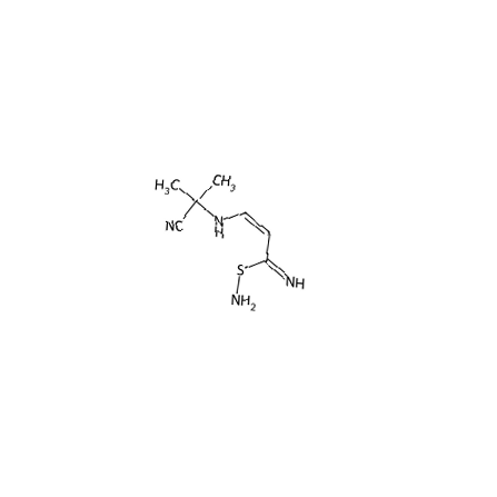 CC(C)(C#N)N/C=C\C(=N)SN